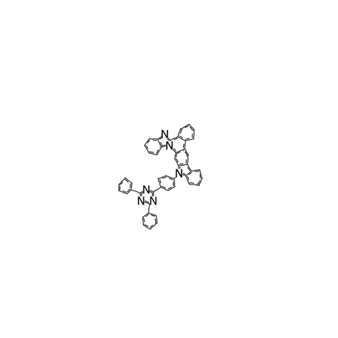 c1ccc(-c2nc(-c3ccccc3)nc(-c3ccc(-n4c5ccccc5c5cc6c7ccccc7c7nc8ccccc8n7c6cc54)cc3)n2)cc1